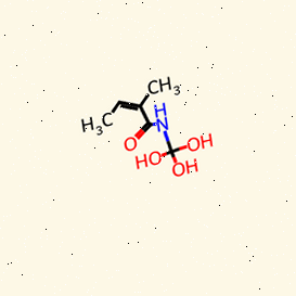 CC=C(C)C(=O)NC(O)(O)O